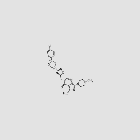 Cc1nc(N2CCN(C)CC2)n2ncn(Cc3nc([C@@H]4CO[C@@H](c5ccc(Cl)cc5)C4)no3)c(=O)c12